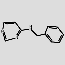 [c]1cc(NCc2ccccc2)ncn1